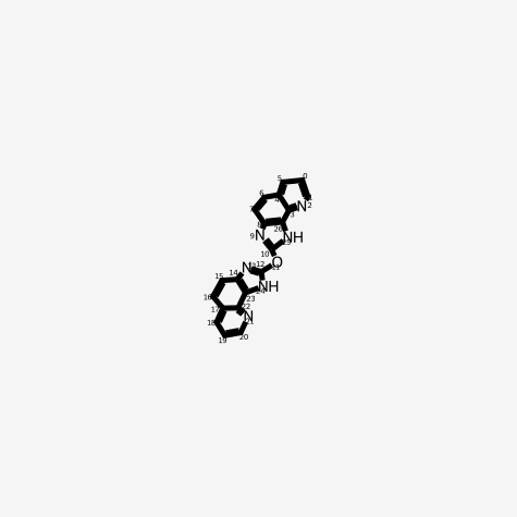 c1cnc2c(c1)ccc1nc(Oc3nc4ccc5cccnc5c4[nH]3)[nH]c12